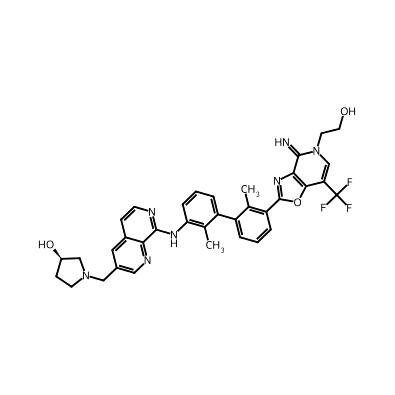 Cc1c(Nc2nccc3cc(CN4CC[C@@H](O)C4)cnc23)cccc1-c1cccc(-c2nc3c(=N)n(CCO)cc(C(F)(F)F)c3o2)c1C